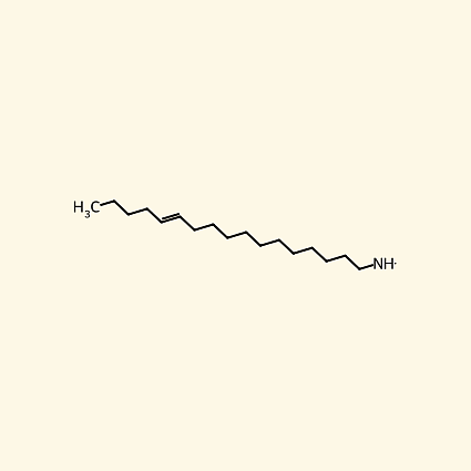 CCCCC=CCCCCCCCCCCC[NH]